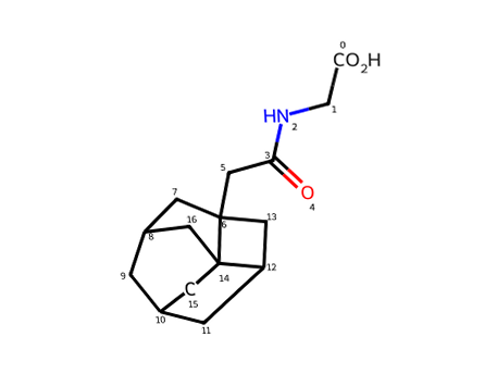 O=C(O)CNC(=O)CC12CC3CC4CC(C1)C2(C4)C3